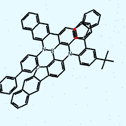 CC(C)(C)c1ccc(N2c3ccc4c(oc5cc6ccccc6cc54)c3B3c4c(cc5c(sc6ccccc65)c42)-c2cc4ccccc4cc2N3c2ccc(-c3ccccc3)cc2)c(-c2ccccc2)c1